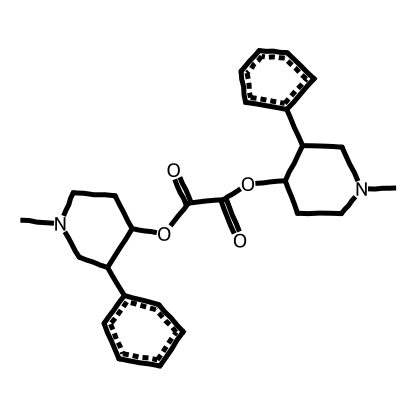 CN1CCC(OC(=O)C(=O)OC2CCN(C)CC2c2ccccc2)C(c2ccccc2)C1